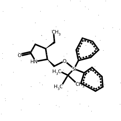 CC[C@@H]1CC(=O)N[C@@H]1CO[Si](c1ccccc1)(c1ccccc1)C(C)(C)C